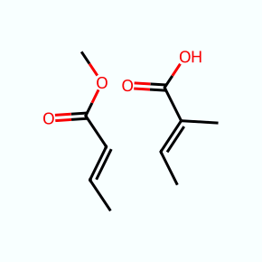 C/C=C(\C)C(=O)O.C/C=C/C(=O)OC